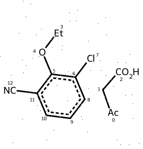 CC(=O)CC(=O)O.CCOc1c(Cl)cccc1C#N